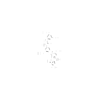 Cc1cc(Nc2cc(C)nc(Oc3ccc(NC(=O)Nc4cc(O)cc(O)c4)cc3C)n2)[nH]n1